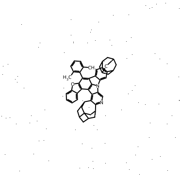 Cc1cccc(C)c1-c1c2oc3ccccc3c2c2c3c4c(ncc3n3c5cc6c(cc5c1c23)C1CC2CC(C1)CC6C2)C1CC2CC3CC4CC23C1